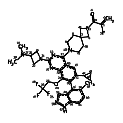 C=C(F)C(=O)N1CC2(CCN(c3nc(N4CC(N(C)C)C4)nc4c(OCC(F)(F)F)c(-c5c(C)ccc6[nH]ncc56)c(C5CC5)cc34)CC2)C1